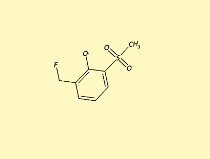 CS(=O)(=O)c1cccc(CF)c1[O]